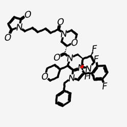 O=C(CCCCCN1C(=O)C=CC1=O)N1CCO[C@H](C(=O)N(C[C@@H]2CNC[C@@H]2F)C(c2nc(-c3cc(F)ccc3F)cn2Cc2ccccc2)C2CCOCC2)C1